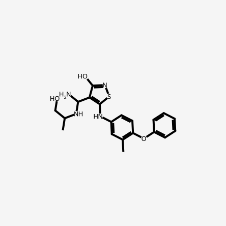 Cc1cc(Nc2snc(O)c2C(N)NC(C)CO)ccc1Oc1ccccc1